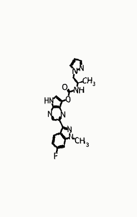 C[C@H](Cn1cccn1)NC(=O)Oc1c[nH]c2ncc(-c3nn(C)c4cc(F)ccc34)nc12